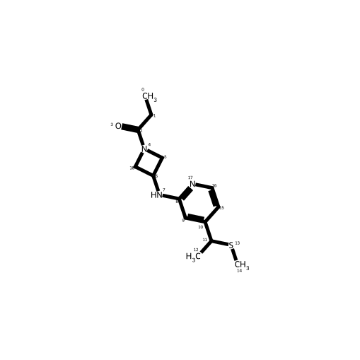 CCC(=O)N1CC(Nc2cc(C(C)SC)ccn2)C1